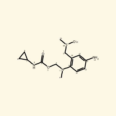 CN(COC(=O)NC1CC1)c1ccc(N)cc1C[S+](C)[O-]